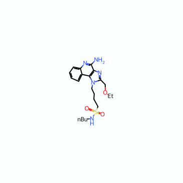 CCCCNS(=O)(=O)CCCCn1c(COCC)nc2c(N)nc3ccccc3c21